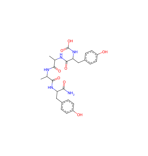 CC(NC(=O)C(C)NC(=O)C(Cc1ccc(O)cc1)NC(=O)O)C(=O)NC(Cc1ccc(O)cc1)C(N)=O